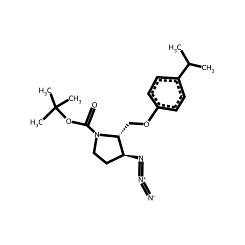 CC(C)c1ccc(OC[C@@H]2[C@@H](N=[N+]=[N-])CCN2C(=O)OC(C)(C)C)cc1